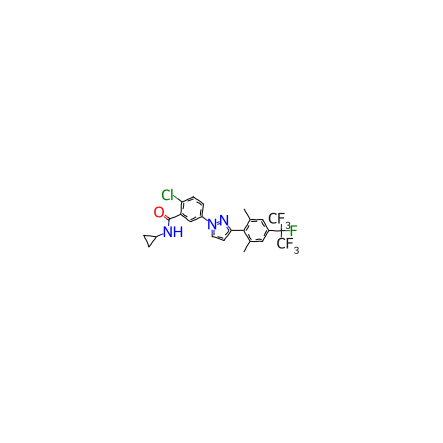 Cc1cc(C(F)(C(F)(F)F)C(F)(F)F)cc(C)c1-c1ccn(-c2ccc(Cl)c(C(=O)NC3CC3)c2)n1